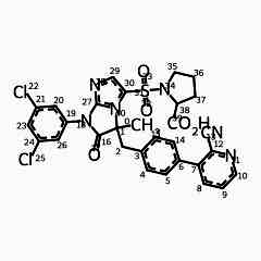 CC1(Cc2ccc(-c3cccnc3C#N)cc2)C(=O)N(c2cc(Cl)cc(Cl)c2)c2ncc(S(=O)(=O)N3CCCC3C(=O)O)n21